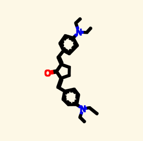 CCN(CC)c1ccc(/C=C2\CC/C(=C\c3ccc(N(CC)CC)cc3)C2=O)cc1